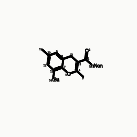 CCCCCCCCCC(=O)C1=C(C)Oc2c(cc(C)cc2C(C)(C)C)C1